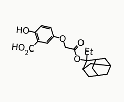 CCC1(OC(=O)COc2ccc(O)c(C(=O)O)c2)C2CC3CC(C2)CC1C3